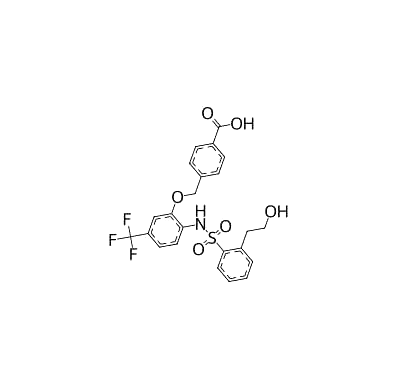 O=C(O)c1ccc(COc2cc(C(F)(F)F)ccc2NS(=O)(=O)c2ccccc2CCO)cc1